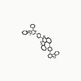 CC1(c2ccccc2)C=C(c2ccc(-c3nc4cccc(-c5ccc(-c6cccc7oc8ccccc8c67)cc5)c4c4c3sc3ccccc34)cc2)N=C(c2ccccc2)N1